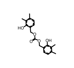 Cc1ccc(COC(=O)OCc2ccc(C)c(C)c2O)c(O)c1C